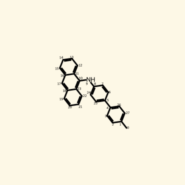 Cc1ccc(-c2ccc(Nc3c4ccccc4cc4ccccc34)cc2)cc1